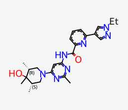 CCn1cc(-c2cccc(C(=O)Nc3cc(N4C[C@@H](C)C(C)(O)[C@@H](C)C4)nc(C)n3)n2)cn1